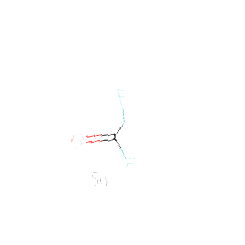 O=C(F)F.[Sn]